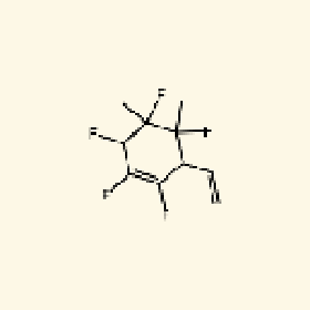 C=CC1C(F)=C(F)C(F)C(C)(F)C1(C)F